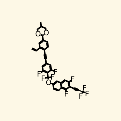 C=Cc1cc(C2OCC(C)CO2)ccc1C#Cc1cc(F)c(C(F)(F)Oc2ccc3c(F)c(C#CC(F)(F)F)c(F)cc3c2)c(F)c1